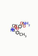 Cc1ccc(-c2cnn(CC#N)c2C(=O)Oc2ccc(S(N)(=O)=O)cc2)cc1